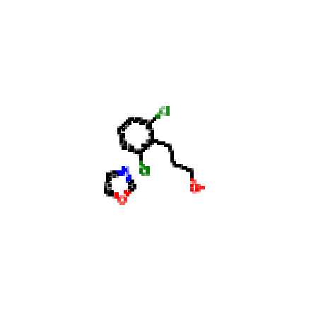 OCCCc1c(Cl)cccc1Cl.c1cocn1